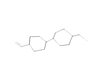 C=CC1CCC(C2CCC(CN)CC2)CC1